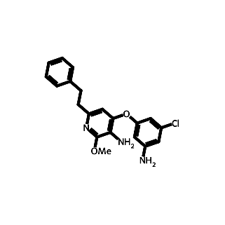 COc1nc(CCc2ccccc2)cc(Oc2cc(N)cc(Cl)c2)c1N